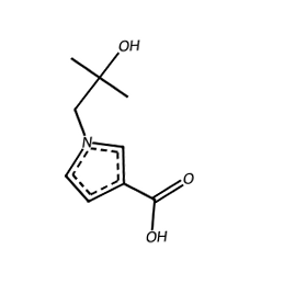 CC(C)(O)Cn1ccc(C(=O)O)c1